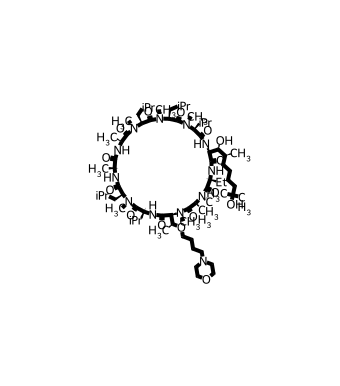 CC[C@@H]1NC(=O)[C@H]([C@H](O)[C@H](C)CCCCC(C)(C)O)NC(=O)[C@H](C(C)C)N(C)C(=O)[C@H](CC(C)C)N(C)C(=O)[C@H](CC(C)C)N(C)C(=O)[C@@H](C)NC(=O)[C@H](C)NC(=O)[C@H](CC(C)C)N(C)C(=O)[C@H](C(C)C)NC(=O)[C@H]([C@@H](C)OCCCCN2CCOCC2)N(C)C(=O)[C@@H](C)N(C)C1=O